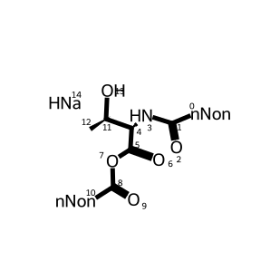 CCCCCCCCCC(=O)N[C@H](C(=O)OC(=O)CCCCCCCCC)[C@@H](C)O.[NaH]